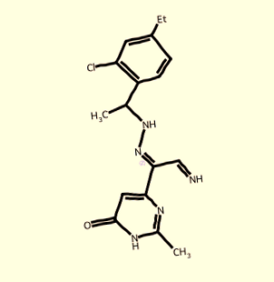 CCc1ccc(C(C)N/N=C(\C=N)c2cc(=O)[nH]c(C)n2)c(Cl)c1